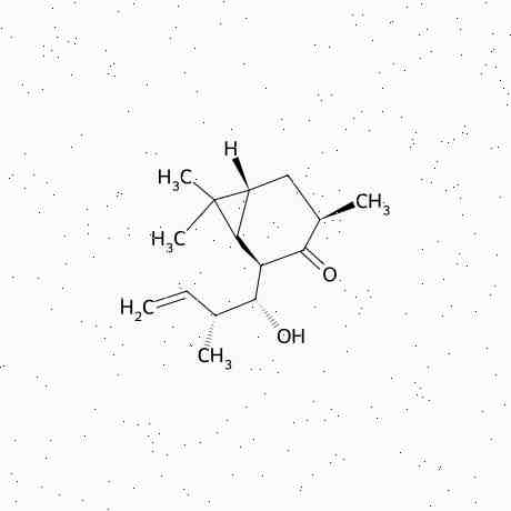 C=C[C@@H](C)[C@@H](O)[C@@H]1C(=O)[C@H](C)C[C@@H]2C1C2(C)C